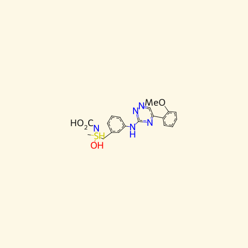 COc1ccccc1-c1cnnc(Nc2cccc(C[SH](C)(O)=NC(=O)O)c2)n1